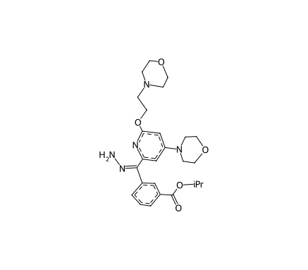 CC(C)OC(=O)c1cccc(C(=NN)c2cc(N3CCOCC3)cc(OCCN3CCOCC3)n2)c1